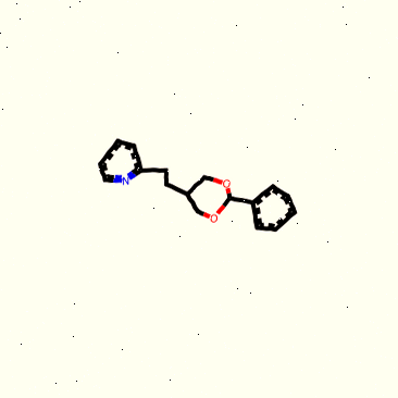 c1ccc(C2OCC(CCc3ccccn3)CO2)cc1